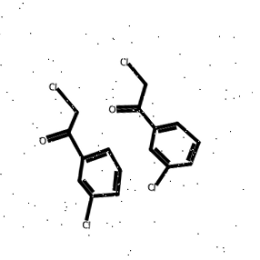 O=C(CCl)c1cccc(Cl)c1.O=C(CCl)c1cccc(Cl)c1